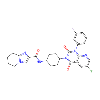 O=C(NC1CCC(n2c(=O)c3cc(F)cnc3n(-c3cccc(I)c3)c2=O)CC1)c1cn2c(n1)CCCC2